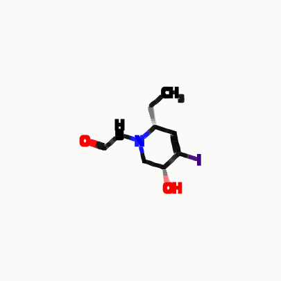 CC[C@@H]1C=C(I)[C@H](O)CN1BC=O